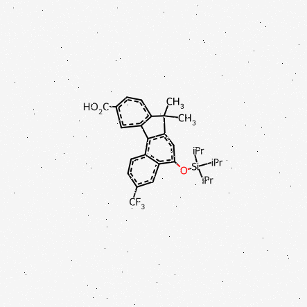 CC(C)[Si](Oc1cc2c(c3ccc(C(F)(F)F)cc13)-c1cc(C(=O)O)ccc1C2(C)C)(C(C)C)C(C)C